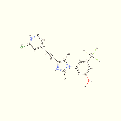 COc1cc(-n2c(C)nc(C#Cc3ccnc(Cl)c3)c2C)cc(C(F)(F)F)c1